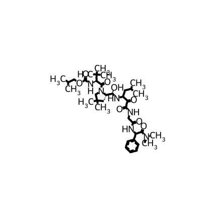 CC(C)COC(=O)N[C@H](C(=O)N1CC(C)(C)C[C@H]1[C@H](O)NC(CC(C)C)C(=O)C(=O)NCC(=O)NC(C(=O)N(C)C)c1ccccc1)C(C)(C)C